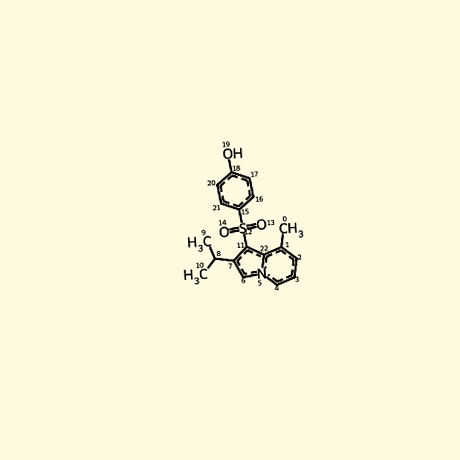 Cc1cccn2cc(C(C)C)c(S(=O)(=O)c3ccc(O)cc3)c12